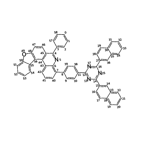 c1ccc(-c2nc3c(-c4ccc(-c5nc(-c6ccc7ccccc7c6)nc(-c6ccc7ccccc7c6)n5)cc4)cccc3c3c2ccc2oc4ccccc4c23)cc1